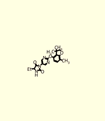 CCC1NC(=O)N(c2cnc(Oc3ccc(C)c4c3C(C)(C)CO4)nc2)C1=O